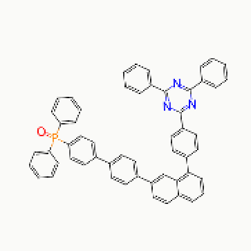 O=P(c1ccccc1)(c1ccccc1)c1ccc(-c2ccc(-c3ccc4cccc(-c5ccc(-c6nc(-c7ccccc7)nc(-c7ccccc7)n6)cc5)c4c3)cc2)cc1